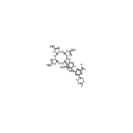 CN1CCN(c2nc(Nc3ccc(CC4CN(CC(=O)O)CCN(CC(=O)O)CCN(CC(=O)O)CCN4CC(=O)O)cc3)nc(N(C)C)n2)CC1